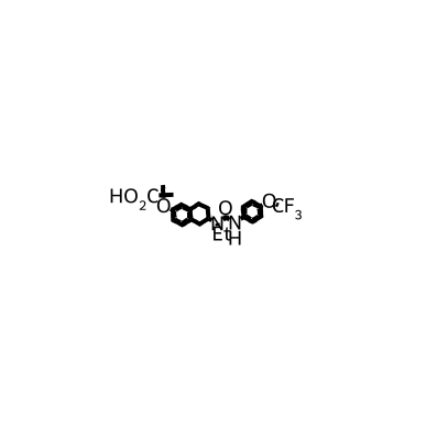 CCN(C(=O)Nc1ccc(OC(F)(F)F)cc1)C1CCc2cc(OC(C)(C)C(=O)O)ccc2C1